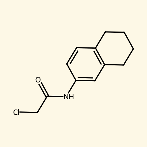 O=C(CCl)Nc1ccc2c(c1)CCCC2